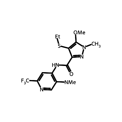 CCSc1c(C(=O)Nc2cc(C(F)(F)F)ncc2NC)nn(C)c1OC